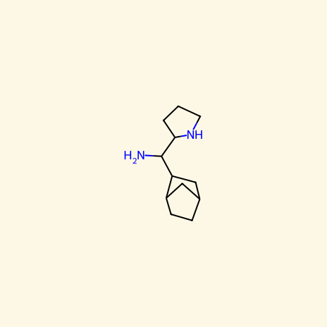 NC(C1CCCN1)C1CC2CCC1C2